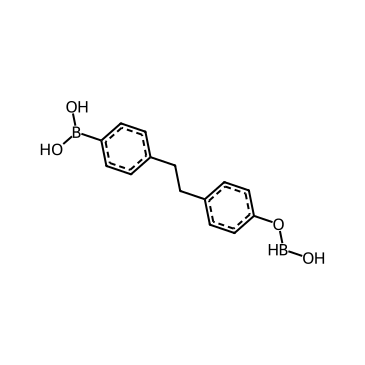 OBOc1ccc(CCc2ccc(B(O)O)cc2)cc1